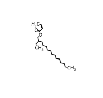 C/C=C\C(=O)OCC(CC)CCCCCCCC=CCCCC